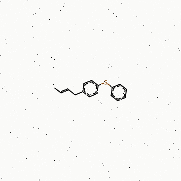 CC=CCc1ccc(Sc2ccccc2)cc1